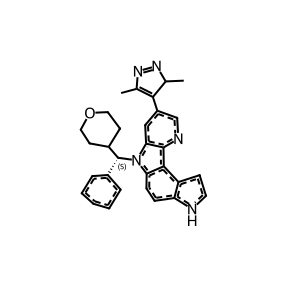 CC1=C(c2cnc3c4c5cc[nH]c5ccc4n([C@H](c4ccccc4)C4CCOCC4)c3c2)C(C)N=N1